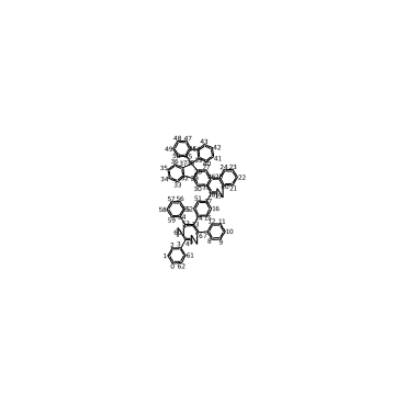 c1ccc(-c2nc(-c3ccccc3)c(-c3ccc(-c4nc5ccccc5c5cc6c(cc45)-c4ccccc4C6(c4ccccc4)c4ccccc4)cc3)c(-c3ccccc3)n2)cc1